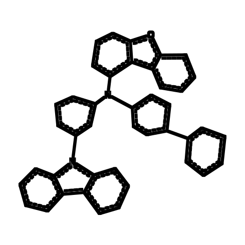 c1ccc(-c2ccc(N(c3cccc(-n4c5ccccc5c5ccccc54)c3)c3cccc4oc5ccccc5c34)cc2)cc1